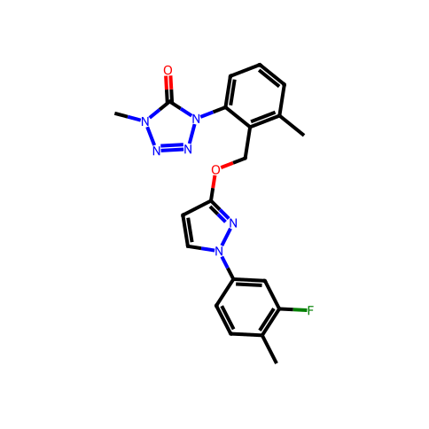 Cc1ccc(-n2ccc(OCc3c(C)cccc3-n3nnn(C)c3=O)n2)cc1F